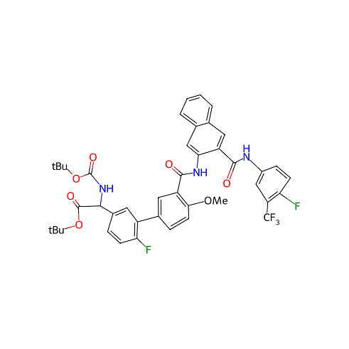 COc1ccc(-c2cc(C(NC(=O)OC(C)(C)C)C(=O)OC(C)(C)C)ccc2F)cc1C(=O)Nc1cc2ccccc2cc1C(=O)Nc1ccc(F)c(C(F)(F)F)c1